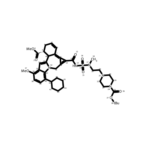 COC(=O)[C@@H]1CC=CC2=C3C(=C3C(=O)NS(=O)(=O)N(C)CCN3CCN(C(=O)OC(C)(C)C)CC3)Cn3c(cc4c(OC)ccc(C5CCCCC5)c43)C21